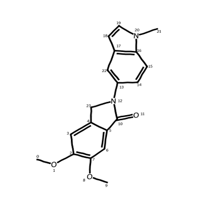 COc1cc2c(cc1OC)C(=O)N(c1ccc3c(ccn3C)c1)C2